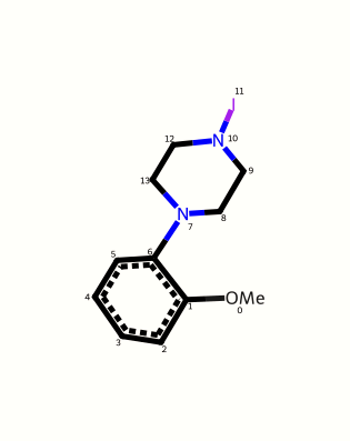 COc1ccccc1N1CCN(I)CC1